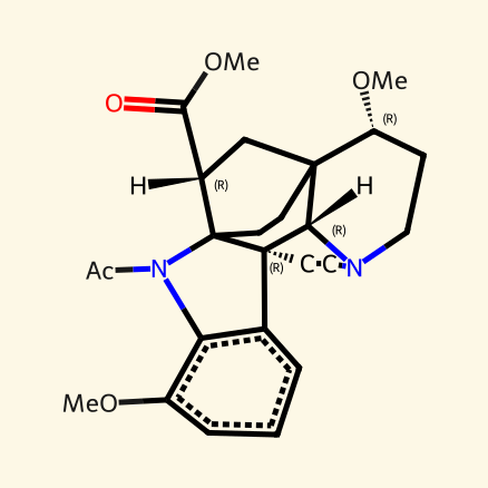 COC(=O)[C@@H]1CC23CCC14N(C(C)=O)c1c(OC)cccc1[C@@]41CCN(CC[C@H]2OC)[C@@H]31